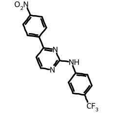 O=[N+]([O-])c1ccc(-c2ccnc(Nc3ccc(C(F)(F)F)cc3)n2)cc1